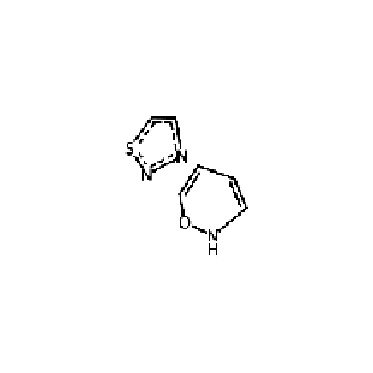 C1=CNOC=C1.c1csnn1